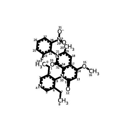 CCc1cncc(CC)c1-n1c(=O)cc(OC)c2cc(C)n(-c3c(F)cccc3[N+](=O)[O-])c(=O)c21